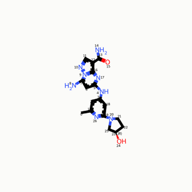 Cc1cc(Nc2cc(N)n3ncc(C(N)=O)c3n2)cc(N2CC[C@@H](O)C2)n1